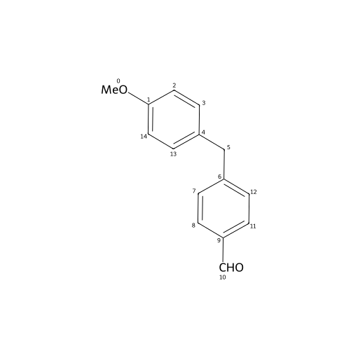 COc1ccc(Cc2ccc(C=O)cc2)cc1